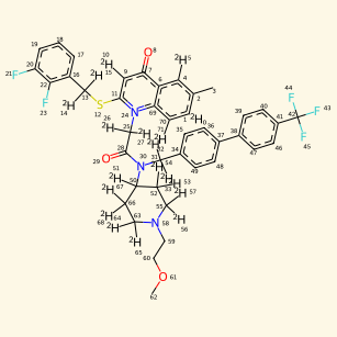 [2H]c1c(C)c([2H])c2c(=O)c([2H])c(SC([2H])([2H])c3cccc(F)c3F)n(C([2H])([2H])C(=O)N(C([2H])([2H])c3ccc(-c4ccc(C(F)(F)F)cc4)cc3)C3([2H])C([2H])([2H])C([2H])([2H])N(CCOC)C([2H])([2H])C3([2H])[2H])c2c1[2H]